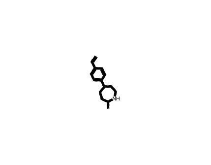 C=Cc1ccc(C2CCNC(C)CC2)cc1